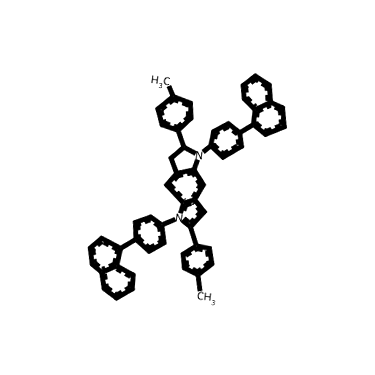 Cc1ccc(-c2cc3cc4c(cc3n2-c2ccc(-c3cccc5ccccc35)cc2)CC(c2ccc(C)cc2)N4c2ccc(-c3cccc4ccccc34)cc2)cc1